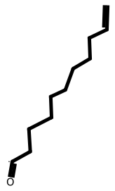 C=CCCCCCCCC[C]=O